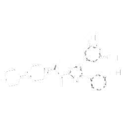 Cc1cccc(-c2nc(NC(=O)N3CCN(C4CCOCC4)CC3)sc2-c2cc(C)nc(C)c2)c1